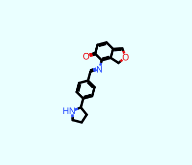 O=C1C=CC2=COCC2=C1N=Cc1ccc(C2CCCN2)cc1